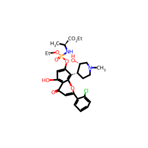 CCOC(=O)[C@H](C)NP(=O)(OCC)Oc1cc(O)c2c(=O)cc(-c3ccccc3Cl)oc2c1[C@H]1CCN(C)C[C@H]1O